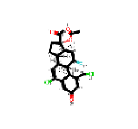 CC(=O)O[C@]1(C(C)=O)CC[C@H]2[C@@H]3C=C(Cl)C4=CC(=O)CC(CCl)[C@]4(C)[C@H]3C(F)C[C@@]21C